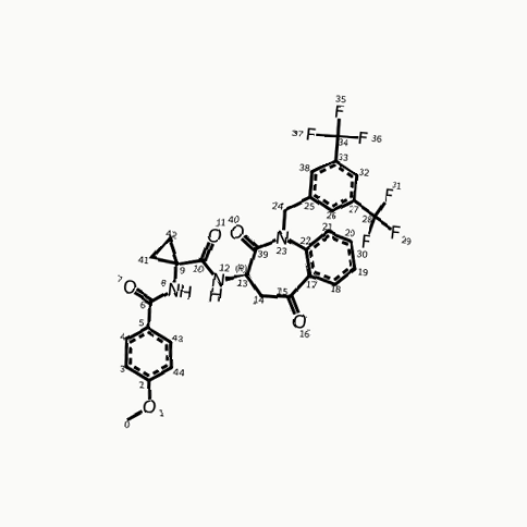 COc1ccc(C(=O)NC2(C(=O)N[C@@H]3CC(=O)c4ccccc4N(Cc4cc(C(F)(F)F)cc(C(F)(F)F)c4)C3=O)CC2)cc1